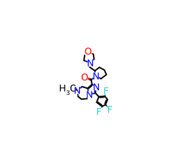 CN1CCCn2c(-c3cc(F)c(F)cc3F)nc(C(=O)N3CCCCC3CN3CCOCC3)c2C1